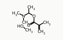 C=C(C)C(=O)OC(C)N(C)C.CO